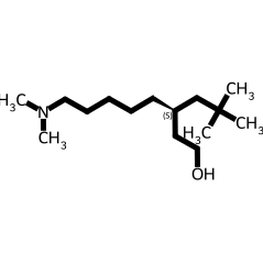 CN(C)CCCCC[C@H](CCO)CC(C)(C)C